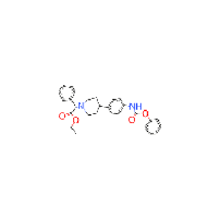 CCOC(=O)C(c1ccccc1)N1CCC(c2ccc(NC(=O)Oc3ccccc3)cc2)CC1